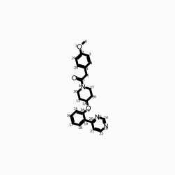 COc1ccc(CC(=O)N2CCC(Oc3ccccc3-c3ccncn3)CC2)cc1